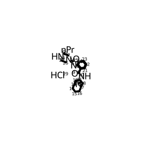 CCC[C@H]1CN(c2nc3c(C(=O)NC4CC5CCCC(C4)N5C)cccc3o2)CCN1.Cl